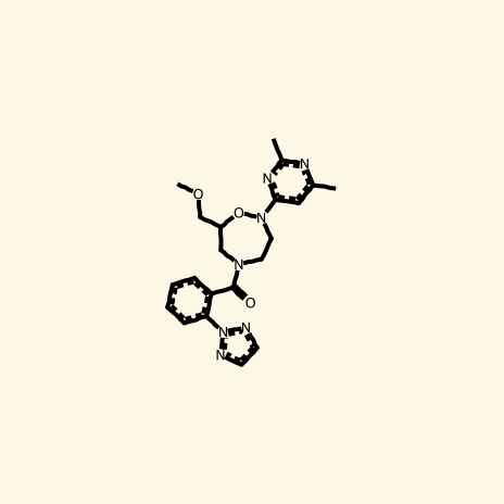 COCC1CN(C(=O)c2ccccc2-n2nccn2)CCN(c2cc(C)nc(C)n2)O1